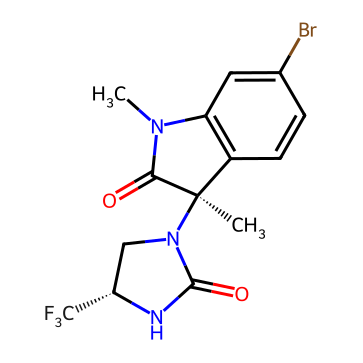 CN1C(=O)[C@](C)(N2C[C@@H](C(F)(F)F)NC2=O)c2ccc(Br)cc21